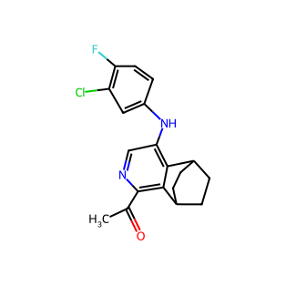 CC(=O)c1ncc(Nc2ccc(F)c(Cl)c2)c2c1C1CCC2CC1